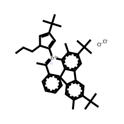 CCCC1C=C(C(C)(C)C)C=[C]1/[Zr+2](=[C](\C)c1ccccc1)[c]1c(C)c(C(C)(C)C)cc2c1Cc1cc(C)c(C(C)(C)C)cc1-2.[Cl-].[Cl-]